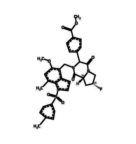 COC(=O)c1ccc(C2C(=O)N3C[C@H](F)C[C@@H]3C(=O)N2Cc2c(OC)cc(C)c3c2ccn3S(=O)(=O)c2ccc(C)cc2)cc1